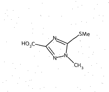 [CH2]Sc1nc(C(=O)O)nn1C